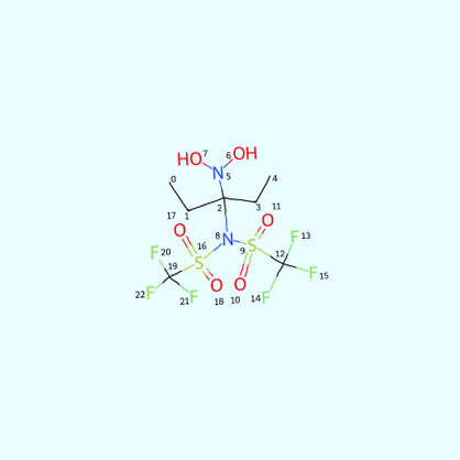 CCC(CC)(N(O)O)N(S(=O)(=O)C(F)(F)F)S(=O)(=O)C(F)(F)F